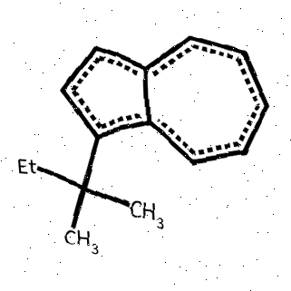 CCC(C)(C)c1ccc2cccccc1-2